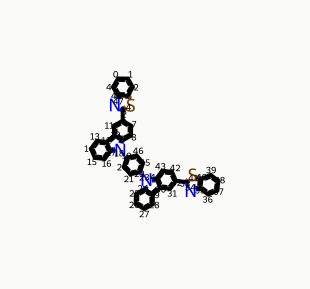 c1ccc2sc(-c3ccc4c(c3)c3ccccc3n4-c3ccc(-n4c5ccccc5c5cc(-c6nc7ccccc7s6)ccc54)cc3)nc2c1